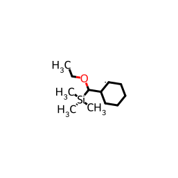 CCOC(C1[CH]CCCC1)[Si](C)(C)C